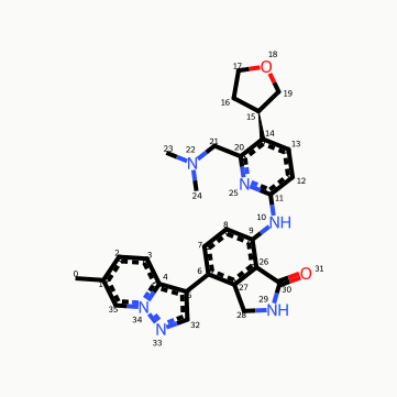 Cc1ccc2c(-c3ccc(Nc4ccc([C@H]5CCOC5)c(CN(C)C)n4)c4c3CNC4=O)cnn2c1